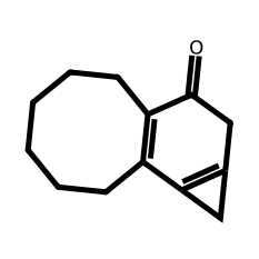 O=C1CC2=C(C2)C2=C1CCCCCC2